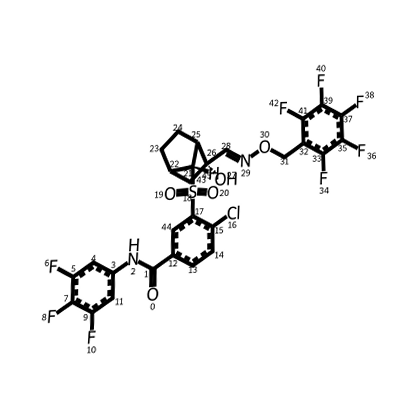 O=C(Nc1cc(F)c(F)c(F)c1)c1ccc(Cl)c(S(=O)(=O)[C@@H]2C3CCC2[C@@](O)(/C=N/OCc2c(F)c(F)c(F)c(F)c2F)C3)c1